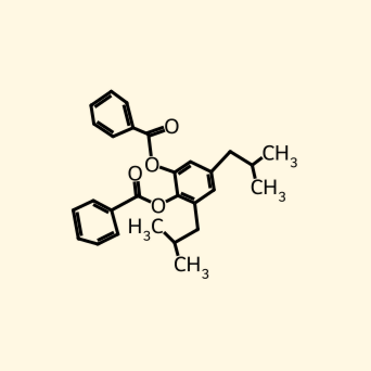 CC(C)Cc1cc(CC(C)C)c(OC(=O)c2ccccc2)c(OC(=O)c2ccccc2)c1